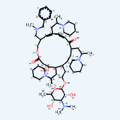 CC(CC1=CC(CN(C)Cc2ccccc2)COC(=O)CC(O)C(CC(C)N2CCCCC2)C(CCO[C@@H]2O[C@H](C)[C@@H](O)[C@H](N(C)C)[C@H]2O)CCC(CC(C)N2CCCCC2)C(=O)C=C1)N1CCCCC1